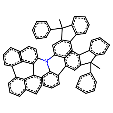 CC1(c2ccccc2)c2ccccc2-c2ccc(-c3ccccc3N(c3ccc4c(c3)C(C)(c3ccccc3)c3ccccc3-4)c3ccccc3-c3cccc4cccc(-c5ccccc5)c34)cc21